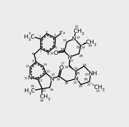 Cc1cc(F)ccc1Cc1cnc2c(c1)N(C(=O)CN1C[C@@H](C)NC[C@@H]1CN1C[C@H](C)N(C)CC1=O)CC2(C)C